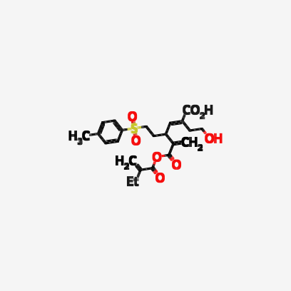 C=C(CC)C(=O)OC(=O)C(=C)C(C=C(CCO)C(=O)O)CCS(=O)(=O)c1ccc(C)cc1